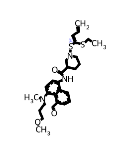 C=C/C=C(\SCC)SN1CCCC(C(=O)Nc2ccc(N(C)CCCOC)c3c(C=O)cccc23)C1